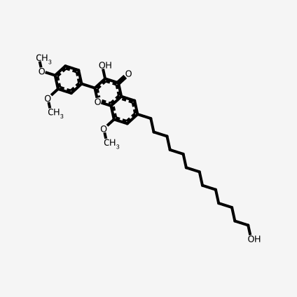 COc1ccc(-c2oc3c(OC)cc(CCCCCCCCCCCCCO)cc3c(=O)c2O)cc1OC